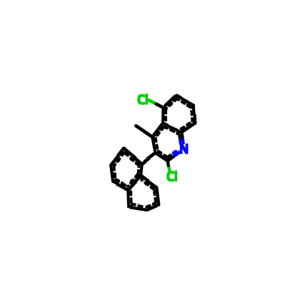 Cc1c(-c2cccc3ccccc23)c(Cl)nc2cccc(Cl)c12